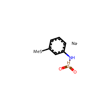 CSc1cccc(N[SH](=O)=O)c1.[Na]